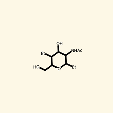 CCC1OC(CO)C(CC)C(O)C1NC(C)=O